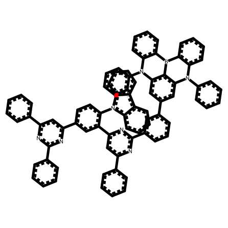 c1ccc(-c2cc(-c3ccc(-n4c5ccccc5c5ccccc54)c(-c4cc(-c5ccccc5)nc(-c5cccc(-c6cc7c8c(c6)N(c6ccccc6)c6ccccc6B8c6ccccc6N7c6ccccc6)c5)n4)c3)nc(-c3ccccc3)n2)cc1